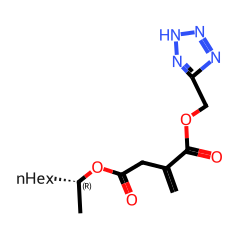 C=C(CC(=O)O[C@H](C)CCCCCC)C(=O)OCc1nn[nH]n1